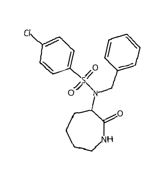 O=C1NCCCCC1N(Cc1ccccc1)S(=O)(=O)c1ccc(Cl)cc1